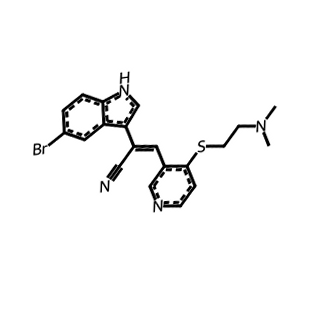 CN(C)CCSc1ccncc1C=C(C#N)c1c[nH]c2ccc(Br)cc12